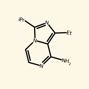 CCc1nc(C(C)C)n2ccnc(N)c12